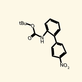 CC(C)(C)OC(=O)Nc1ccccc1-c1ccc([N+](=O)[O-])cc1